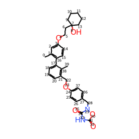 Cc1cc(OCCC2(O)CCCCC2)ccc1-c1cccc(COc2ccc(Cn3oc(=O)[nH]c3=O)cc2)c1C